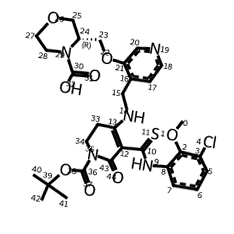 COc1c(Cl)cccc1NC(=S)C1=C(NCc2ccncc2OC[C@H]2COCCN2C(=O)O)CCN(C(=O)OC(C)(C)C)C1=O